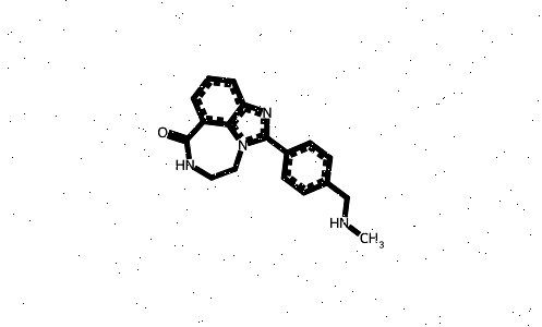 CNCc1ccc(-c2nc3cccc4c3n2CCNC4=O)cc1